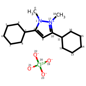 Cn1c(C2CCCCC2)cc(C2CCCCC2)[n+]1C.[O-][Cl+3]([O-])([O-])[O-]